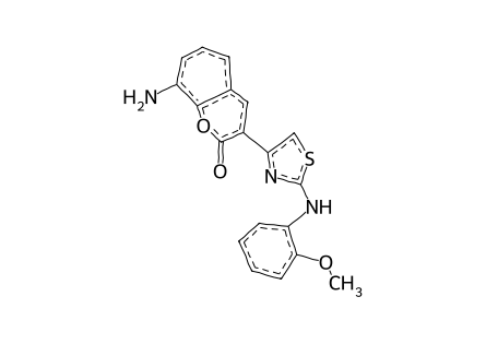 COc1ccccc1Nc1nc(-c2cc3cccc(N)c3oc2=O)cs1